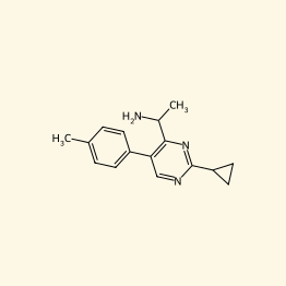 Cc1ccc(-c2cnc(C3CC3)nc2C(C)N)cc1